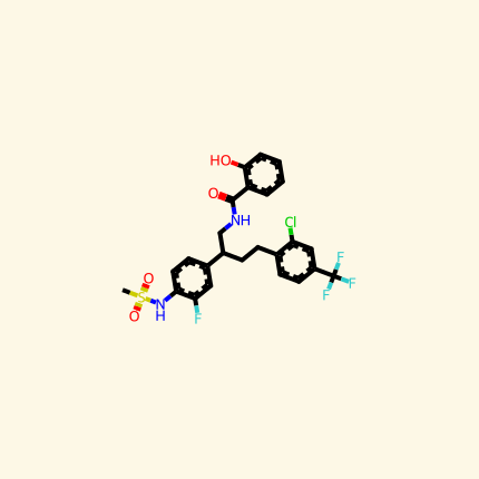 CS(=O)(=O)Nc1ccc(C(CCc2ccc(C(F)(F)F)cc2Cl)CNC(=O)c2ccccc2O)cc1F